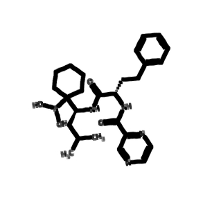 CC(C)C[C@H](NC(=O)[C@H](CCc1ccccc1)NC(=O)c1cnccn1)C1(B(O)O)CCCCC1